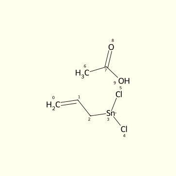 C=C[CH2][Sn]([Cl])[Cl].CC(=O)O